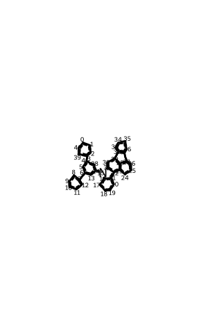 c1ccc(-c2cc(-c3ccccc3)cc(-n3c4ccccc4c4c5cccc6c5c(cc43)-c3ccccc3-6)c2)cc1